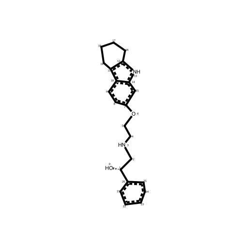 O[C@H](CNCCOc1ccc2c3c([nH]c2c1)CCCC3)c1ccccc1